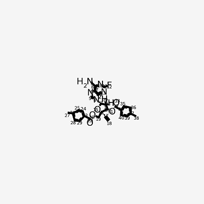 [2H]C1([2H])[C@H](n2cnc3c(N)nc(F)nc32)O[C@](C#C)(COC(=O)c2ccc(C)cc2)[C@H]1OC(=O)c1ccc(C)cc1